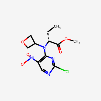 CC[C@H](C(=O)OC)N(c1nc(Cl)ncc1[N+](=O)[O-])C1COC1